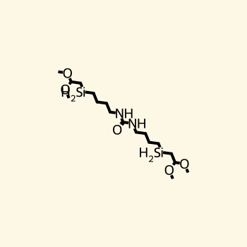 COC(C[SiH2]CCCCNC(=O)NCCCC[SiH2]CC(OC)OC)OC